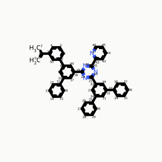 C=C(C)c1cccc(-c2cc(-c3ccccc3)cc(-c3nc(-c4cc(-c5ccccc5)cc(-c5ccccc5)c4)nc(-c4ccccn4)n3)c2)c1